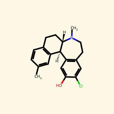 Cc1ccc2c(c1)[C@@H]1c3cc(O)c(Cl)cc3CCN(C)[C@H]1CC2